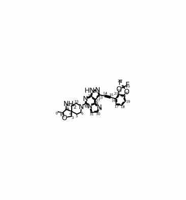 C[C@@H]1OCC2(CCN(c3nc4[nH]nc(C#Cc5cccc6c5OC(F)(F)O6)c4c4nccn34)CC2)[C@@H]1N